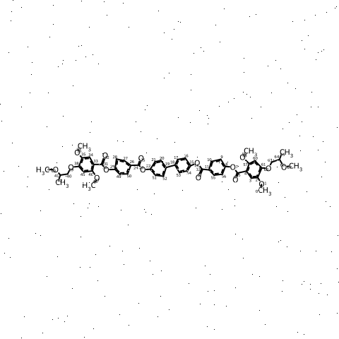 COc1cc(C(=O)Oc2ccc(C(=O)Oc3ccc(-c4ccc(OC(=O)c5ccc(OC(=O)c6cc(OC)c(OCC(C)OC)cc6OC)cc5)cc4)cc3)cc2)c(OC)cc1OCC(C)OC